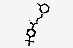 CC1CCCN(CCNC(=O)c2ccc(C(C)(C)C)cc2)C1